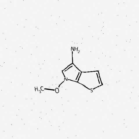 COn1cc(N)c2ccsc21